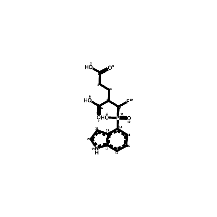 O=C(O)CCC(C(=O)O)C(F)P(=O)(O)c1cccc2[nH]ccc12